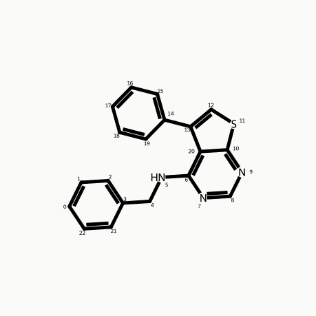 c1ccc(CNc2ncnc3scc(-c4ccccc4)c23)cc1